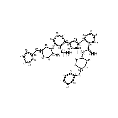 N=C(NC1CCN(Cc2ccccc2)CC1)c1ccccc1-c1ccc(-c2ccccc2C(=N)NC2CCN(Cc3ccccc3)CC2)o1